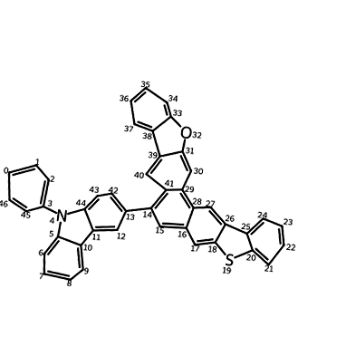 c1ccc(-n2c3ccccc3c3cc(-c4cc5cc6sc7ccccc7c6cc5c5cc6oc7ccccc7c6cc45)ccc32)cc1